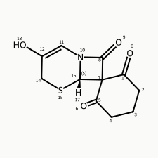 O=C1CCCC(=O)C12C(=O)N1C=C(O)CS[C@H]12